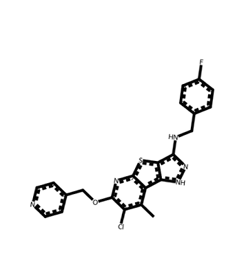 Cc1c(Cl)c(OCc2ccncc2)nc2sc3c(NCc4ccc(F)cc4)n[nH]c3c12